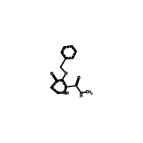 CNC(=O)c1[nH]ccc(=O)c1OCc1ccccc1